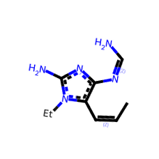 C/C=C\c1c(/N=C\N)nc(N)n1CC